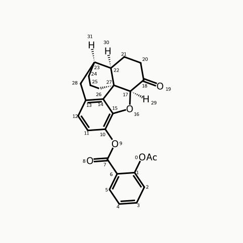 CC(=O)Oc1ccccc1C(=O)Oc1ccc2c3c1O[C@@H]1C(=O)CC[C@@H]4[C@@H](CCC[C@@]314)C2